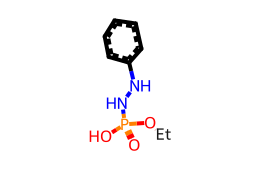 CCOP(=O)(O)NNc1ccccc1